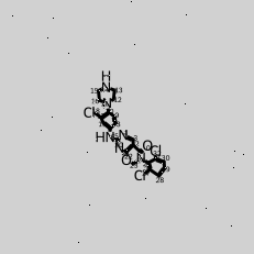 O=C1c2cnc(Nc3ccc(N4CCNCC4)c(Cl)c3)nc2OCN1c1c(Cl)cccc1Cl